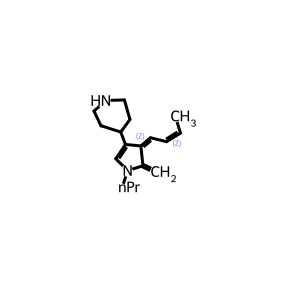 C=c1/c(=C\C=C/C)c(C2CCNCC2)cn1CCC